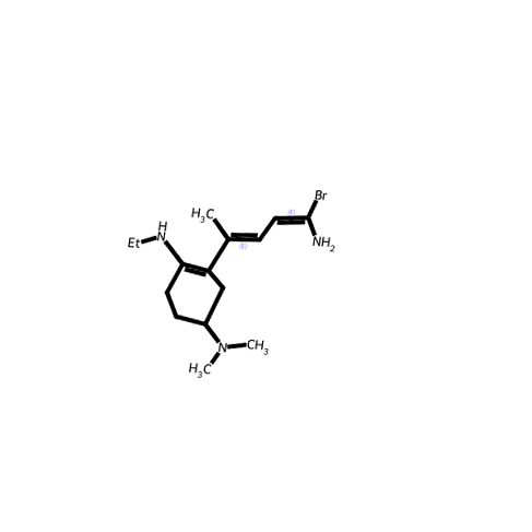 CCNC1=C(/C(C)=C/C=C(\N)Br)CC(N(C)C)CC1